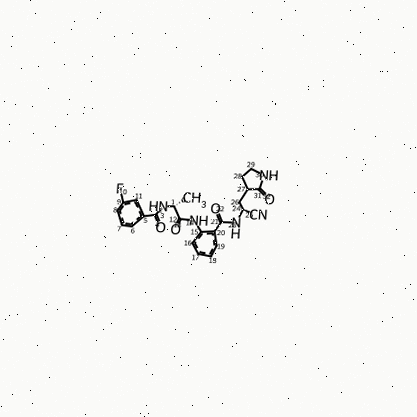 C[C@@H](NC(=O)c1cccc(F)c1)C(=O)Nc1ccccc1C(=O)N[C@H](C#N)CC1CCNC1=O